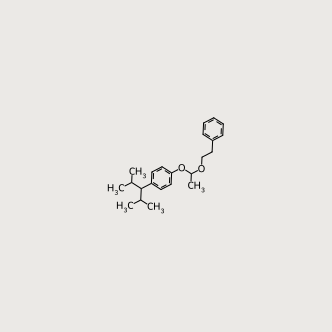 CC(OCCc1ccccc1)Oc1ccc(C(C(C)C)C(C)C)cc1